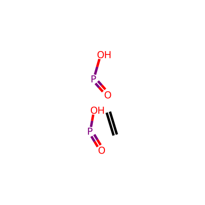 C=C.O=PO.O=PO